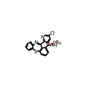 CCCCNC(=O)c1cccc2c1C(c1ccc(Cl)cn1)=Nc1ccccc1S2